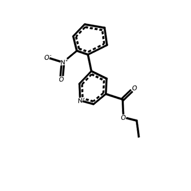 CCOC(=O)c1cncc(-c2ccccc2[N+](=O)[O-])c1